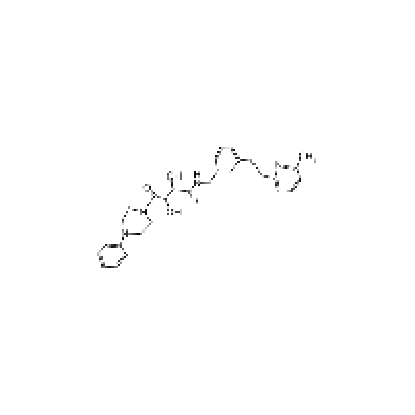 Cc1cccc(COc2cccc(CNC(=O)[C@H](O)[C@@H](O)C(=O)N3CCN(c4ccccc4)CC3)c2)n1